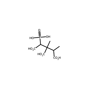 CC(C(=O)O)C(C)(C(=O)O)C(C(=O)O)P(=O)(O)O